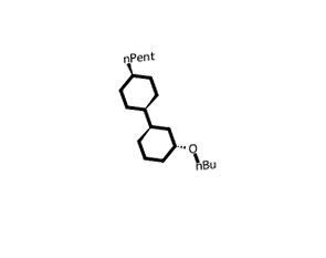 CCCCC[C@H]1CC[C@@H]([C@@H]2CCC[C@@H](OCCCC)C2)CC1